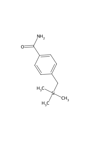 C[Si](C)(C)Cc1ccc(C(N)=O)cc1